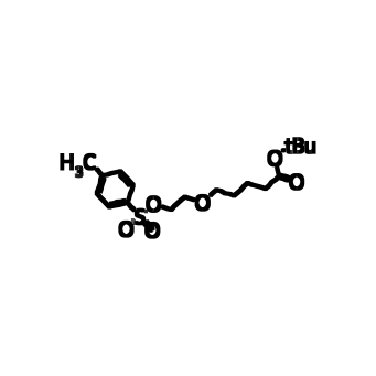 Cc1ccc(S(=O)(=O)OCCOCCCCC(=O)OC(C)(C)C)cc1